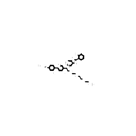 CCCOc1ccc(-c2ccc(C(C(=O)OCCOCCOCCO)n3cc4nc(-c5cccc(F)c5F)nc-4cn3)cn2)c(C(F)(F)F)c1